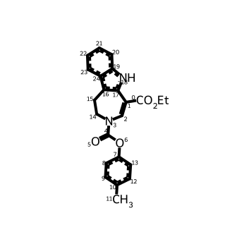 CCOC(=O)C1=CN(C(=O)Oc2ccc(C)cc2)CCc2c1[nH]c1ccccc21